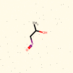 CC(O)CP=O